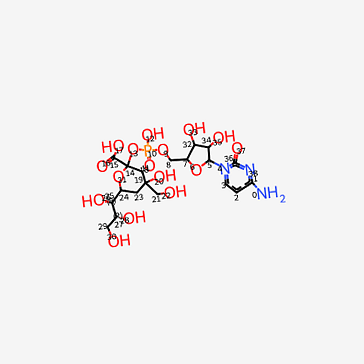 Nc1ccn(C2OC(COP(=O)(O)OC3(C(=O)O)CC(O)(CO)CC([C@H](O)[C@H](O)CO)O3)C(O)C2O)c(=O)n1